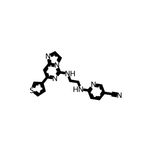 N#Cc1ccc(NCCNc2nc(-c3ccsc3)cc3nccn23)nc1